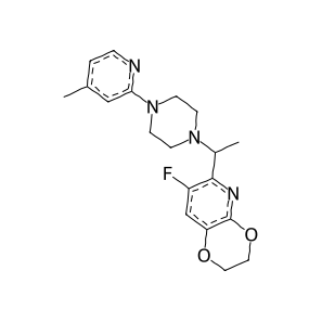 Cc1ccnc(N2CCN(C(C)c3nc4c(cc3F)OCCO4)CC2)c1